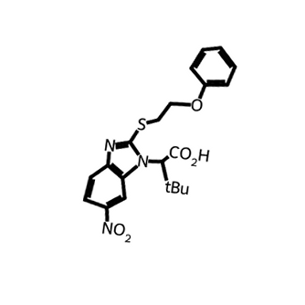 CC(C)(C)C(C(=O)O)n1c(SCCOc2ccccc2)nc2ccc([N+](=O)[O-])cc21